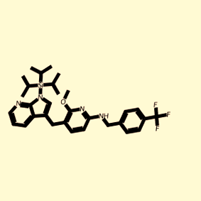 COc1nc(NCc2ccc(C(F)(F)F)cc2)ccc1Cc1cn([Si](C(C)C)(C(C)C)C(C)C)c2ncccc12